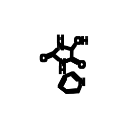 O=C1NC(=O)C(O)N1.c1ccncc1